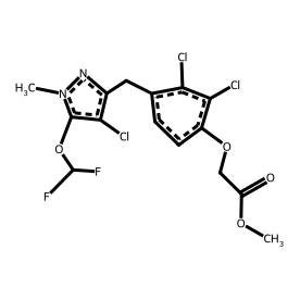 COC(=O)COc1ccc(Cc2nn(C)c(OC(F)F)c2Cl)c(Cl)c1Cl